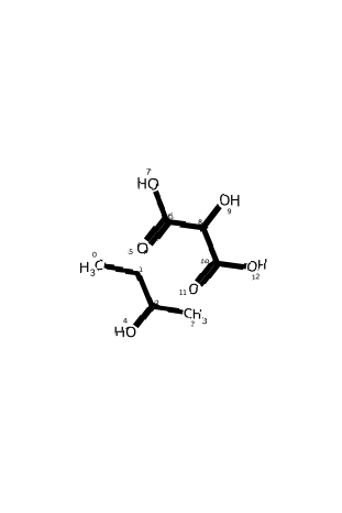 CCC(C)O.O=C(O)C(O)C(=O)O